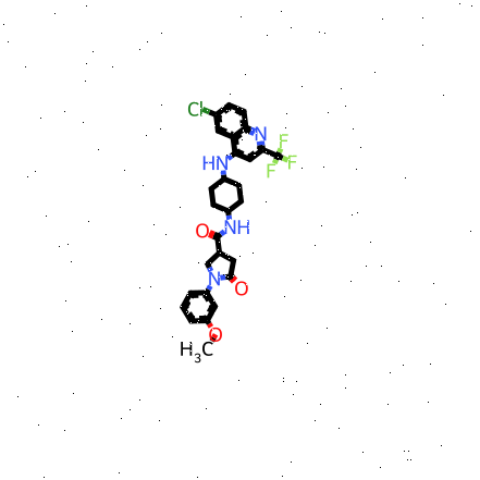 COc1cccc(N2CC(C(=O)NC3CCC(Nc4cc(C(F)(F)F)nc5ccc(Cl)cc45)CC3)CC2=O)c1